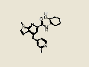 Cc1cc(Cc2cc(C(=O)N[C@H]3CCCC[C@@H]3O)nc3c2ccn3C)ccn1